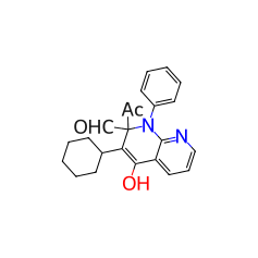 CC(=O)C1(C=O)C(C2CCCCC2)=C(O)c2cccnc2N1c1ccccc1